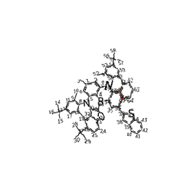 Cc1cc2c3c(c1)N(c1c(C)cc(C(C)(C)C)cc1C)c1c(oc4ccc(C(C)(C)C)cc14)B3c1cc(-c3cc4ccccc4s3)ccc1N2c1c(C)cc(C(C)(C)C)cc1-c1ccccc1